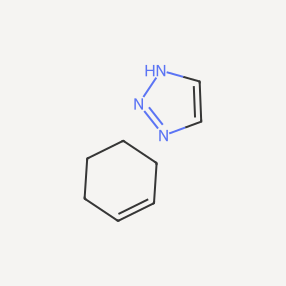 C1=CCCCC1.c1c[nH]nn1